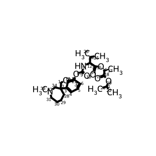 CCC1(c2cccc(OC(=O)NC(C(=O)O[C@@H](C)C(=O)OC(C)C)C(C)C)c2)CCCCN(C)C1